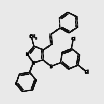 Cc1nn(-c2ccccc2)c(Sc2cc(Cl)cc(Cl)c2)c1/C=C/c1ccccc1